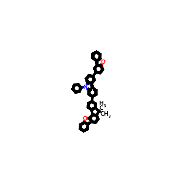 CC1(C)c2cc(-c3ccc4c5cc(-c6ccc7oc8ccccc8c7c6)ccc5n(-c5ccccc5)c4c3)ccc2-c2c1ccc1c2oc2ccccc21